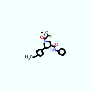 CCc1ccc(C2CC(C(=O)Nc3ccccc3)CN(C(=O)[C@@H](C)F)C2)cc1